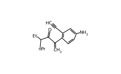 C#Cc1cc(N)ccc1C(=C)C(=O)C(CC)CCC